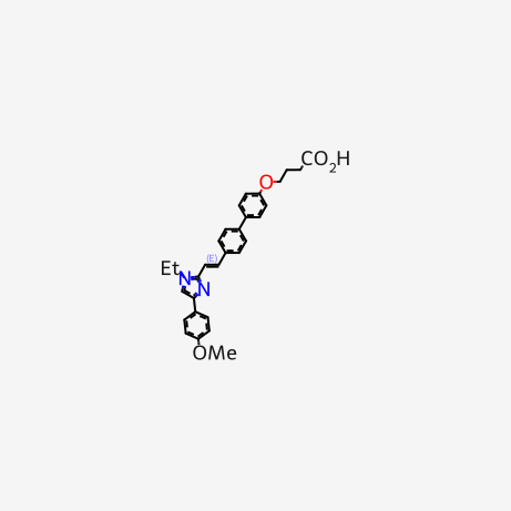 CCn1cc(-c2ccc(OC)cc2)nc1/C=C/c1ccc(-c2ccc(OCCCC(=O)O)cc2)cc1